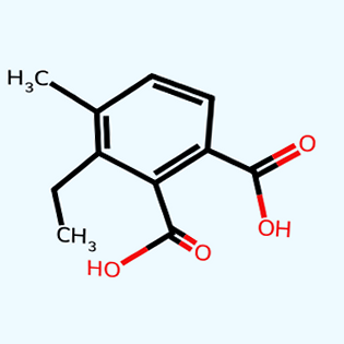 CCc1c(C)ccc(C(=O)O)c1C(=O)O